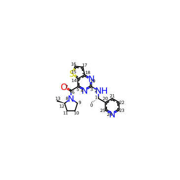 C[C@H](Nc1nc(C(=O)N2CCC[C@H]2C)c2sccc2n1)c1cccnc1